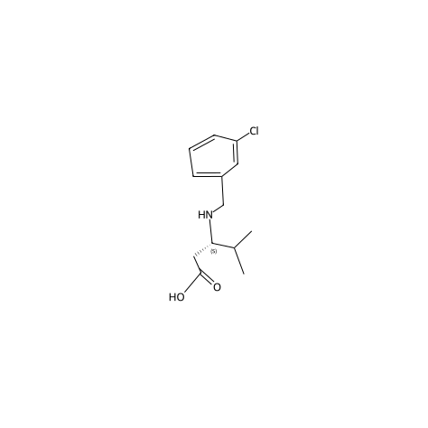 CC(C)[C@H](CC(=O)O)NCc1cccc(Cl)c1